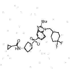 CC(C)(C)c1nc2cc(S(=O)(=O)N3CC[C@H](NC(=O)C4CC4)C3)ccc2n1CC1CCC(F)(F)CC1